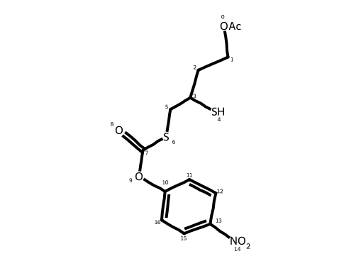 CC(=O)OCCC(S)CSC(=O)Oc1ccc([N+](=O)[O-])cc1